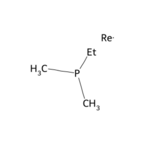 CCP(C)C.[Re]